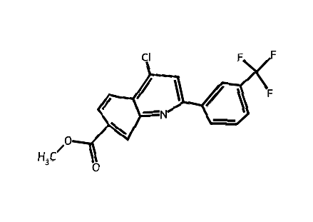 COC(=O)c1ccc2c(Cl)cc(-c3cccc(C(F)(F)F)c3)nc2c1